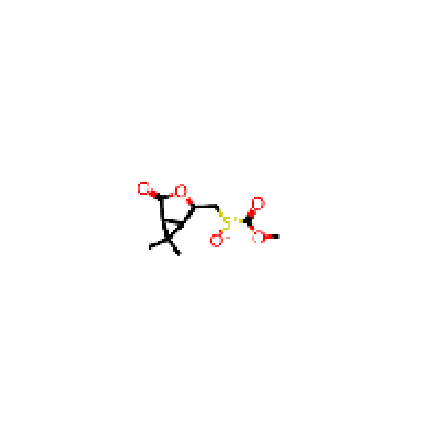 COC(=O)[S+]([O-])CC1OC(=O)C2C1C2(C)C